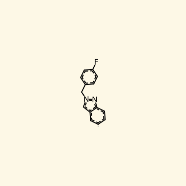 Fc1ccc(Cn2cc3c[c]ccc3n2)cc1